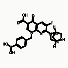 O=C(O)c1cn(Cc2ccc(B(O)O)cc2)c2nc(N3C[C@@H]4C[C@H]3CN4)c(F)cc2c1=O